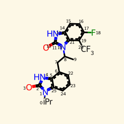 CC(C)n1c(=O)[nH]c2c(CC(C)n3c(=O)[nH]c4ccc(F)c(C(F)(F)F)c43)cccc21